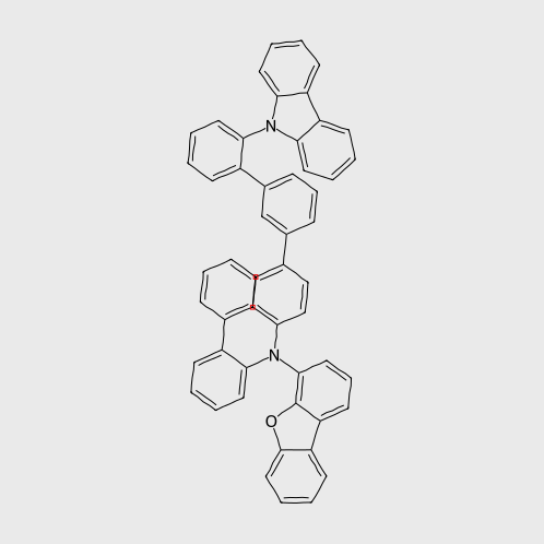 c1ccc(-c2ccccc2N(c2ccc(-c3cccc(-c4ccccc4-n4c5ccccc5c5ccccc54)c3)cc2)c2cccc3c2oc2ccccc23)cc1